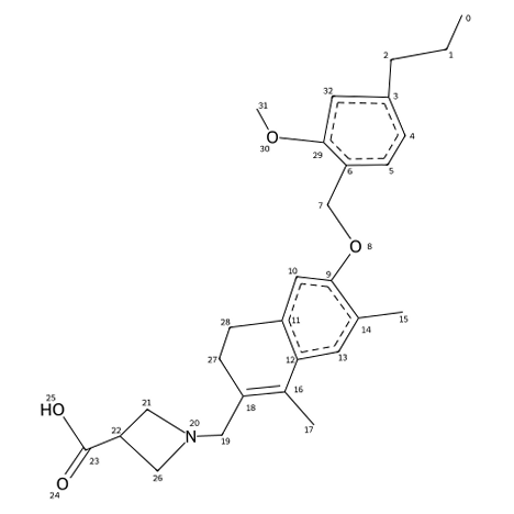 CCCc1ccc(COc2cc3c(cc2C)C(C)=C(CN2CC(C(=O)O)C2)CC3)c(OC)c1